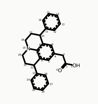 O=C(O)Cc1cc2c3c(c1)C(c1ccccc1)CCN3CCC2c1ccccc1